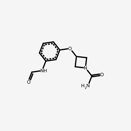 NC(=O)N1CC(Oc2cccc(NC=O)c2)C1